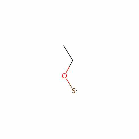 CCO[S]